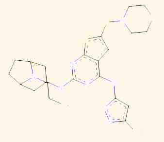 Cc1cc(Nc2nc(NC3CC4CCC(C3)N4CCC#N)nc3sc(SN4CCOCC4)cc23)n[nH]1